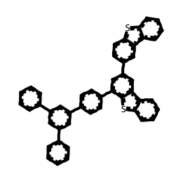 c1ccc(-c2cc(-c3ccccc3)cc(-c3ccc(-c4cc(-c5ccc6sc7ccccc7c6c5)cc5c4sc4ccccc45)cc3)c2)cc1